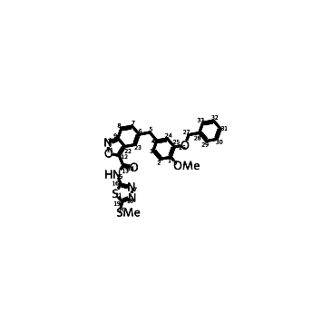 COc1ccc(Cc2ccc3noc(C(=O)Nc4nnc(SC)s4)c3c2)cc1OCc1ccccc1